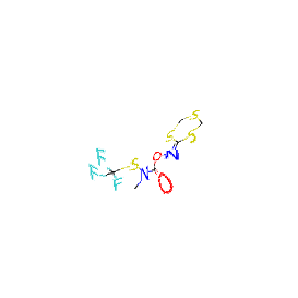 CN(SC(F)(F)F)C(=O)ON=C1SCSCS1